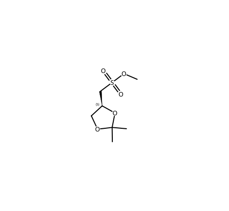 COS(=O)(=O)C[C@@H]1COC(C)(C)O1